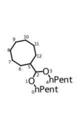 CCCCCOC(OCCCCC)C1CCCCCCC1